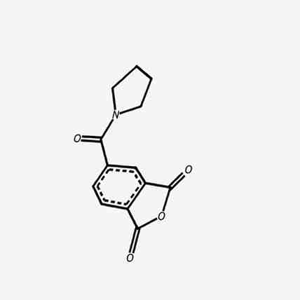 O=C1OC(=O)c2cc(C(=O)N3CCCC3)ccc21